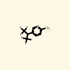 Cc1ccc(C(C(F)(F)F)C(F)(F)F)cn1